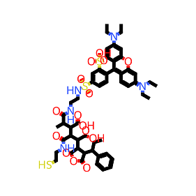 CCC(c1ccccc1)C1C(=O)OC(=O)C1C(C(=O)O)C(C(=O)NCCS)C(C(=O)O)C(C)C(=O)NCCNS(=O)(=O)c1ccc(-c2c3ccc(=[N+](CC)CC)cc-3oc3cc(N(CC)CC)ccc23)c(S(=O)(=O)O)c1